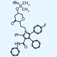 CC(C)c1c(C(=O)Nc2ccccc2)c(-c2ccccc2)c(-c2ccc(F)cc2)n1CCC1OCC(O[Si](C)(C)C(C)(C)C)CC1=O